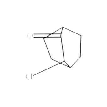 O=C1C2CCC(CC2)C1Cl